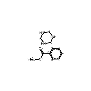 C1NCNCN1.CCCCCCOC(=O)c1ccccc1